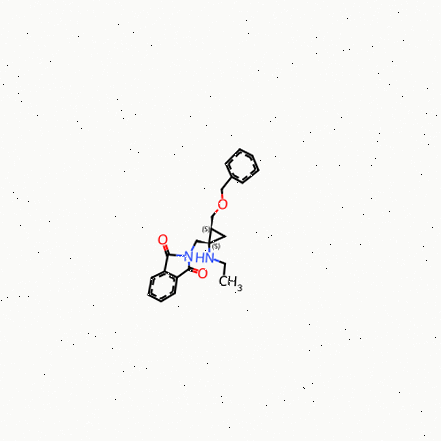 CCN[C@@]1(CN2C(=O)c3ccccc3C2=O)C[C@@H]1COCc1ccccc1